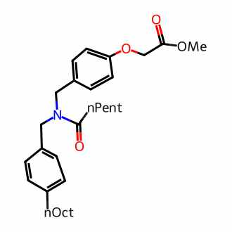 CCCCCCCCc1ccc(CN(Cc2ccc(OCC(=O)OC)cc2)C(=O)CCCCC)cc1